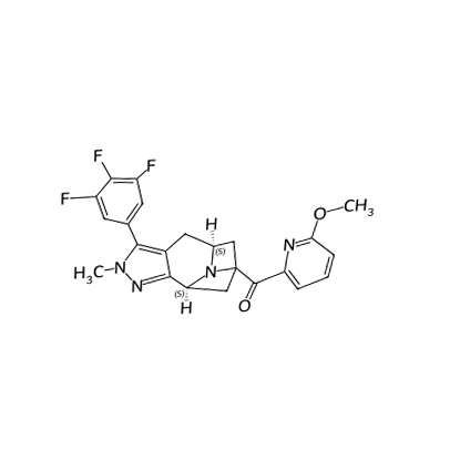 COc1cccc(C(=O)C23C[C@@H]4Cc5c(nn(C)c5-c5cc(F)c(F)c(F)c5)[C@H](C2)N43)n1